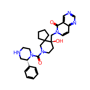 O=C(N1CC[C@@](O)(Cn2ccc3ncncc3c2=O)C2(CCCC2)C1)N1CCNC[C@H]1c1ccccc1